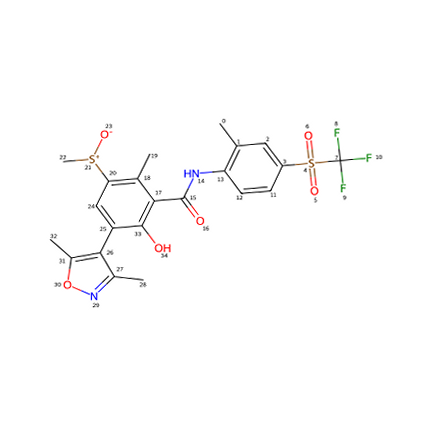 Cc1cc(S(=O)(=O)C(F)(F)F)ccc1NC(=O)c1c(C)c([S+](C)[O-])cc(-c2c(C)noc2C)c1O